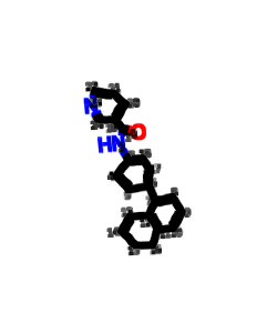 O=C(Nc1ccc(-c2cccc3c2C=CCC3)cc1)c1cccnc1